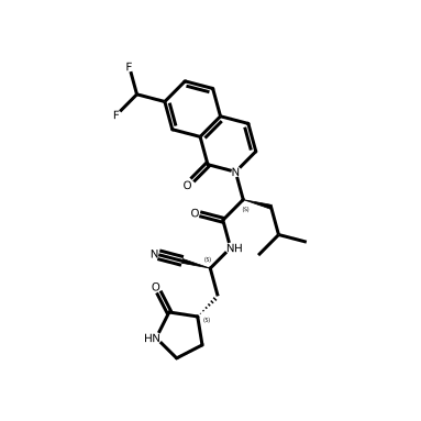 CC(C)C[C@@H](C(=O)N[C@H](C#N)C[C@@H]1CCNC1=O)n1ccc2ccc(C(F)F)cc2c1=O